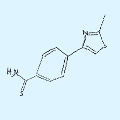 Cc1nc(-c2ccc(C(N)=S)cc2)cs1